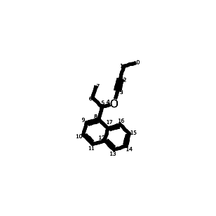 CCC#COC(CC)c1cccc2ccccc12